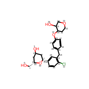 OC[C@@H]1CC(O)C[C@H](c2ccc(Cl)c(Cc3ccc(OC4CCOCC4O)cc3)c2)O1